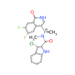 C[C@H](c1c[nH]c(=O)c2cc(F)c(F)cc12)N(C)C(=O)c1[nH]c2ccccc2c1Cl